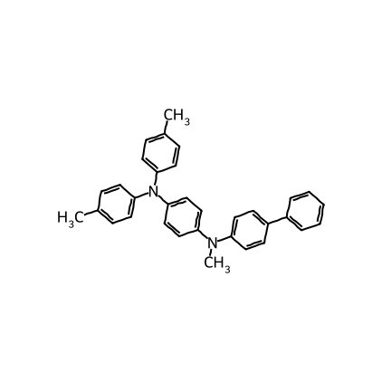 Cc1ccc(N(c2ccc(C)cc2)c2ccc(N(C)c3ccc(-c4ccccc4)cc3)cc2)cc1